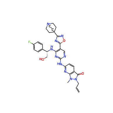 C=CCn1c(=O)c2ccc(Nc3ncc(-c4nc(C56CCN(CC5)CC6)no4)c(N[C@H](CO)c4ccc(F)cc4)n3)nc2n1C